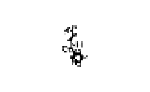 CN(C)CCNC(=O)c1c[c]cnc1